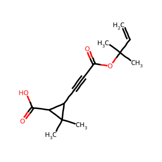 C=CC(C)(C)OC(=O)C#CC1C(C(=O)O)C1(C)C